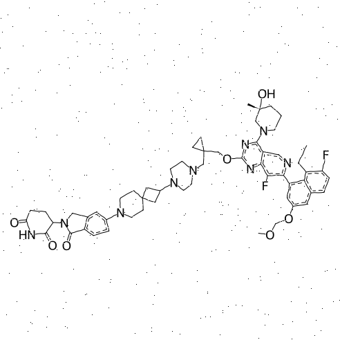 CCc1c(F)ccc2cc(OCOC)cc(-c3ncc4c(N5CCC[C@@](C)(O)C5)nc(OCC5(CN6CCN(C7CC8(CCN(c9ccc%10c(c9)CN(C9CCC(=O)NC9=O)C%10=O)CC8)C7)CC6)CC5)nc4c3F)c12